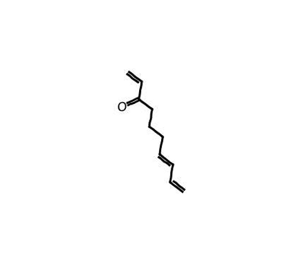 C=CC=CCCCC(=O)C=C